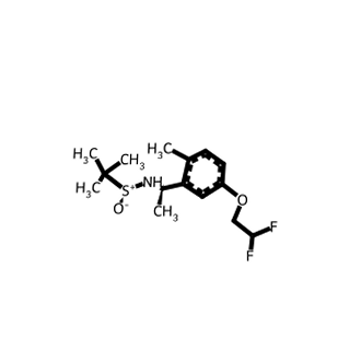 Cc1ccc(OCC(F)F)cc1[C@@H](C)N[S@+]([O-])C(C)(C)C